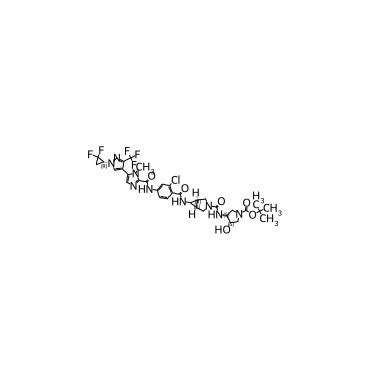 Cn1c(-c2cn([C@@H]3CC3(F)F)nc2C(F)(F)F)cnc1C(=O)Nc1ccc(C(=O)NC2[C@H]3CN(C(=O)N[C@H]4CN(C(=O)OC(C)(C)C)C[C@@H]4O)C[C@@H]23)c(Cl)c1